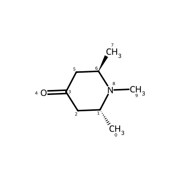 C[C@@H]1CC(=O)C[C@@H](C)N1C